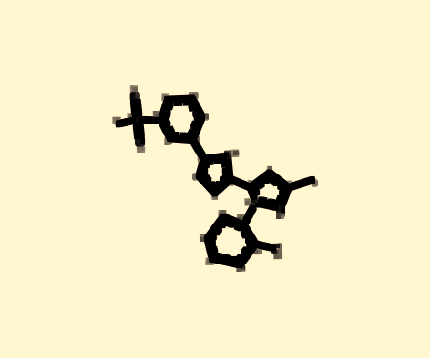 Cc1cc(-c2ccc(-c3cccc(S(C)(=O)=O)c3)s2)n(-c2ccccc2Cl)n1